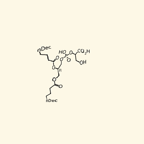 CCCCCCCCCCCCCC(=O)OC[C@H](COP(=O)(O)OC(CO)C(=O)O)OC(=O)CCCCCCCCCCCCC